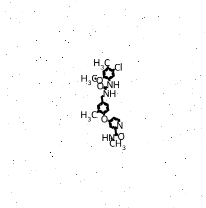 CNC(=O)c1cc(Oc2ccc(CNC(=O)Nc3cc(Cl)c(C)cc3OC)cc2C)ccn1